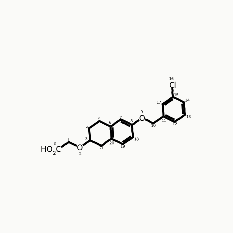 O=C(O)COC1CCc2cc(OCc3cccc(Cl)c3)ccc2C1